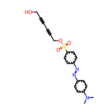 CN(C)c1ccc(/N=N/c2ccc(S(=O)(=O)OCC#CC#CCO)cc2)cc1